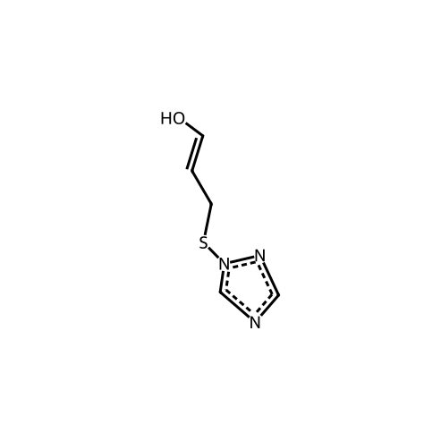 OC=CCSn1cncn1